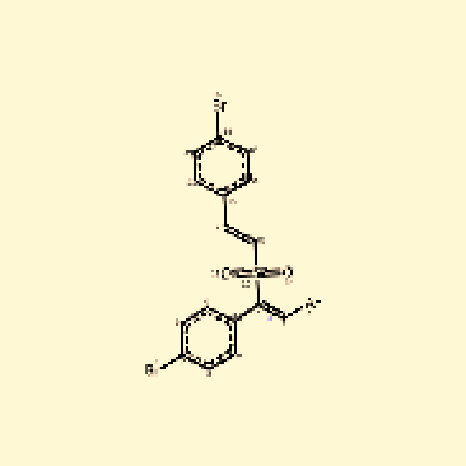 CC(=O)/C=C(/c1ccc(Br)cc1)S(=O)(=O)C=Cc1ccc(Br)cc1